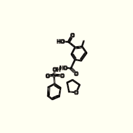 C1CCOC1.Cc1ccc(C(=O)O)cc1C(=O)O.O=S(=O)(O)c1ccccc1